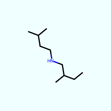 CCC(C)CNCCC(C)C